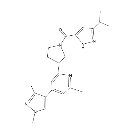 Cc1cc(-c2cn(C)nc2C)cc(C2CCN(C(=O)c3cc(C(C)C)n[nH]3)C2)n1